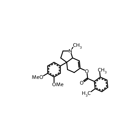 COc1ccc(C23CCC(OC(=O)c4c(C)cccc4C)=CC2N(C)CC3)cc1OC